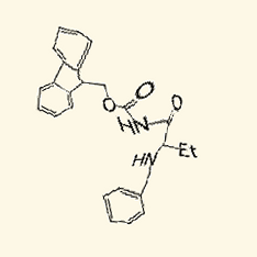 CCC(NCc1ccccc1)C(=O)NC(=O)OCC1c2ccccc2-c2ccccc21